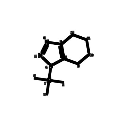 C[Si](C)(C)n1nnc2c1CCCC2